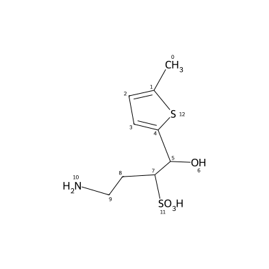 Cc1ccc(C(O)C(CCN)S(=O)(=O)O)s1